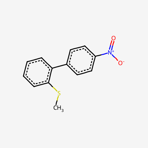 CSc1ccccc1-c1ccc([N+](=O)[O-])cc1